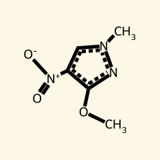 COc1nn(C)cc1[N+](=O)[O-]